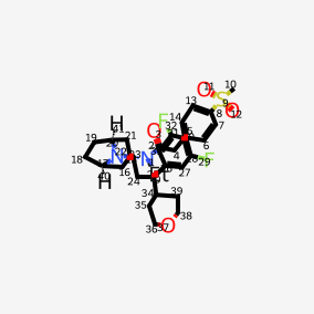 CCN(C(=O)Cc1ccc(S(C)(=O)=O)cc1)[C@@H]1C[C@H]2CC[C@@H](C1)N2CCC(c1cc(F)cc(F)c1)C1CCOCC1